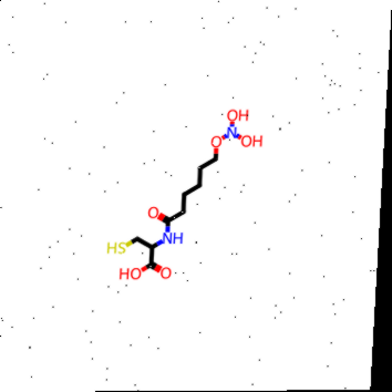 O=C(CCCCCON(O)O)NC(CS)C(=O)O